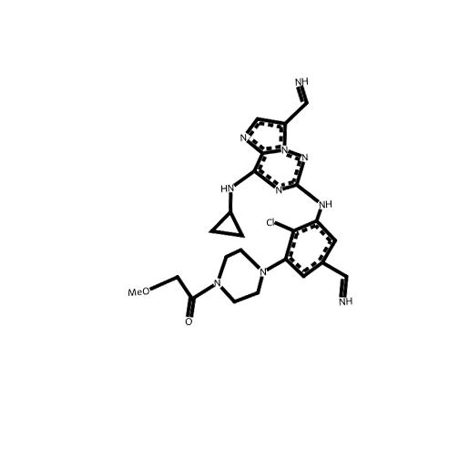 COCC(=O)N1CCN(c2cc(C=N)cc(Nc3nc(NC4CC4)c4ncc(C=N)n4n3)c2Cl)CC1